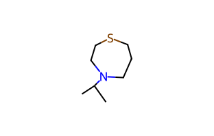 CC(C)N1CCCSCC1